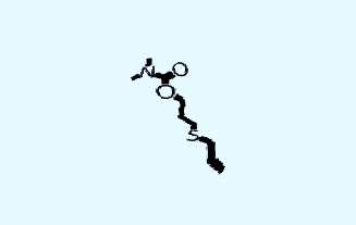 C=CCSCCCOC(=O)N(C)C